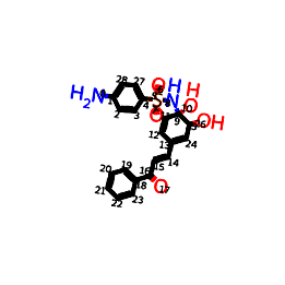 Nc1ccc(S(=O)(=O)NC2(O)C=CC(C=CC(=O)c3ccccc3)=CC2O)cc1